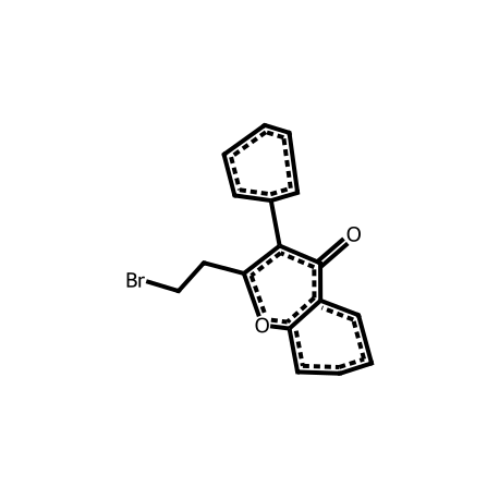 O=c1c(-c2ccccc2)c(CCBr)oc2ccccc12